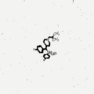 CC(C)CN1CCC(C(Nc2ccc(F)cc2)c2ccc(F)cc2)CC1.Cl.O